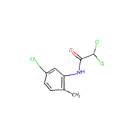 Cc1ccc(Cl)cc1NC(=O)C(Cl)Cl